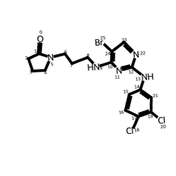 O=C1CCCN1CCCNc1nc(Nc2ccc(Cl)c(Cl)c2)ncc1Br